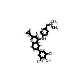 CN(C)Cc1ccc(Nc2c(C=O)c(C3CC3)nc3ccc(-c4cc(Cl)c(O)c(Cl)c4)cc23)cn1